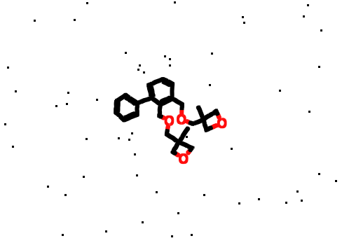 CC1(COCc2cccc(-c3ccccc3)c2COCC2(C)COC2)COC1